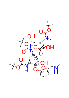 CNCC1=CCC[C@@H](O[C@H]2[C@H](O)[C@@H](O[C@@H](OCCO)[C@H](O)[C@H](C)N(C)C(=O)OC(C)(C)C)[C@H](NC(=O)OC(C)(C)C)C[C@@H]2NC(=O)OC(C)(C)C)O1